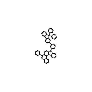 c1ccc(-c2nc3ccccc3c3c2ccc2c3c3ccccc3n2-c2cccc(-c3ccc4c(c3)C(c3ccccc3)(c3ccccc3)c3ccccc3-4)c2)cc1